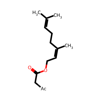 CC(=O)CC(=O)OCC=C(C)CCC=C(C)C